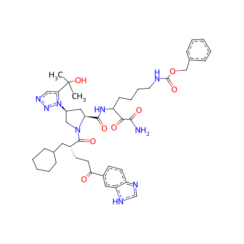 CC(C)(O)c1cnnn1[C@H]1C[C@@H](C(=O)NC(CCCCNC(=O)OCc2ccccc2)C(=O)C(N)=O)N(C(=O)[C@H](CCC(=O)c2ccc3nc[nH]c3c2)CC2CCCCC2)C1